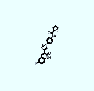 CN(C(=O)C1CCCO1)c1ccc(-n2cc(-c3cc4cc(F)ccc4[nH]c3=O)nn2)cc1